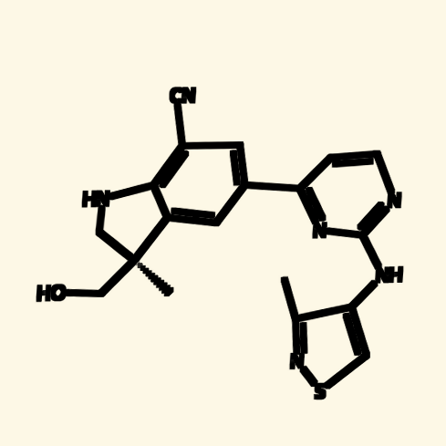 Cc1nscc1Nc1nccc(-c2cc(C#N)c3c(c2)[C@@](C)(CO)CN3)n1